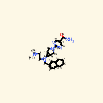 CCN(CC)CCN(Cc1ccc2ccccc2c1)C1C2CN(c3ncc(C(N)=O)cn3)CC21